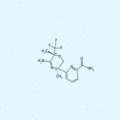 C[C@@]1(c2cccc(C(N)=O)n2)CO[C@@](C)(C(F)(F)F)C(N)=N1